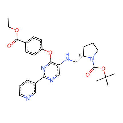 CCOC(=O)c1ccc(Oc2nc(-c3cccnc3)ncc2NC[C@@H]2CCCN2C(=O)OC(C)(C)C)cc1